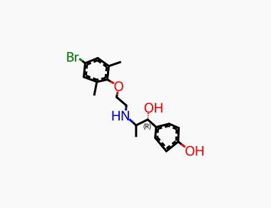 Cc1cc(Br)cc(C)c1OCCNC(C)[C@H](O)c1ccc(O)cc1